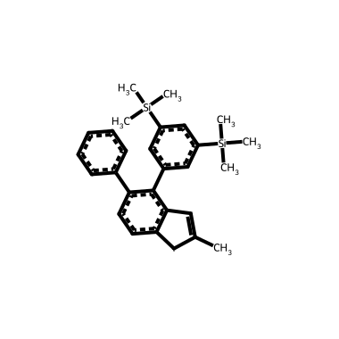 CC1=Cc2c(ccc(-c3ccccc3)c2-c2cc([Si](C)(C)C)cc([Si](C)(C)C)c2)[CH]1